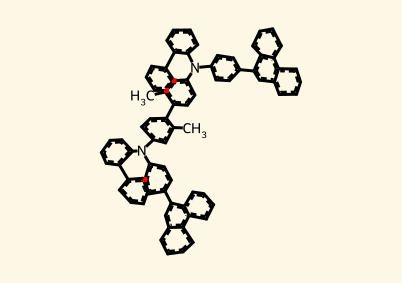 Cc1cc(N(c2ccc(-c3cc4ccccc4c4ccccc34)cc2)c2ccccc2-c2ccccc2)ccc1-c1ccc(N(c2ccc(-c3cc4ccccc4c4ccccc34)cc2)c2ccccc2-c2ccccc2)cc1C